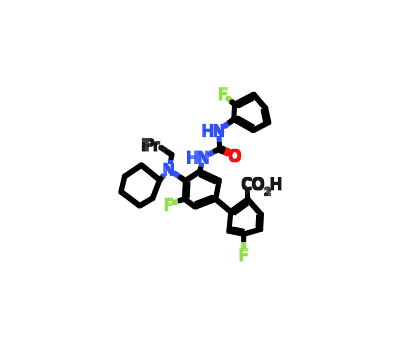 CC(C)CN(c1c(F)cc(-c2cc(F)ccc2C(=O)O)cc1NC(=O)Nc1ccccc1F)C1CCCCC1